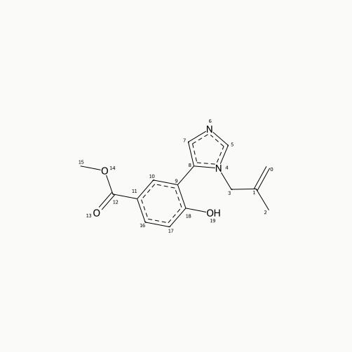 C=C(C)Cn1cncc1-c1cc(C(=O)OC)ccc1O